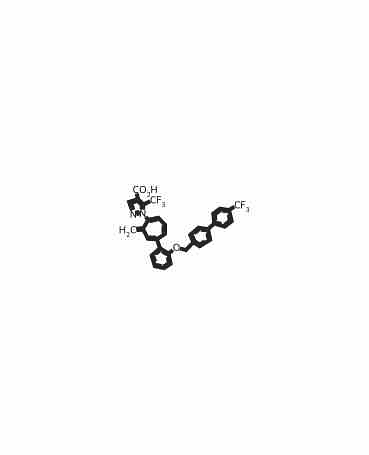 C=C1C=C(c2ccccc2OCc2ccc(-c3ccc(C(F)(F)F)cc3)cc2)C=CC=C1n1ncc(C(=O)O)c1C(F)(F)F